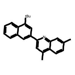 Cc1ccc2c(C)cc(-c3cc(C(C)(C)C)c4ccccc4c3)nc2c1